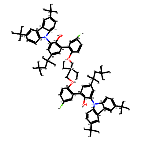 C[CH2][Ge]([CH2]C)([CH2]Oc1ccc(F)cc1-c1cc(C(C)(C)CC(C)(C)C)cc(-n2c3ccc(C(C)(C)C)cc3c3cc(C(C)(C)C)ccc32)c1O)[CH2]Oc1ccc(F)cc1-c1cc(C(C)(C)CC(C)(C)C)cc(-n2c3ccc(C(C)(C)C)cc3c3cc(C(C)(C)C)ccc32)c1O